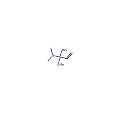 C=C[Si](OC)(OC)N(C)C